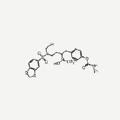 CC(C)CN(CCC(Cc1ccc(OC(=O)NC(C)C)cc1)N(O)C(=O)O)S(=O)(=O)c1ccc2c(c1)OCO2